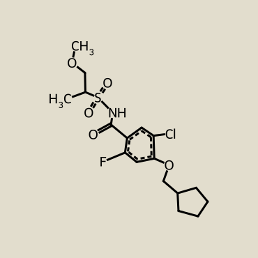 COCC(C)S(=O)(=O)NC(=O)c1cc(Cl)c(OCC2CCCC2)cc1F